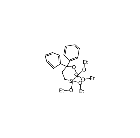 CCO[Si]1(OCC)CCC(c2ccccc2)(c2ccccc2)O[Si]1(OCC)OCC